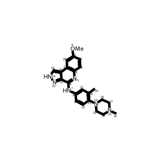 COc1ccc2nc(Nc3ccc(N4CCN(C)CC4)c(C)c3)c3n[nH]cc3c2c1